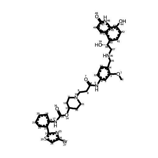 COc1cc(NC(=O)CCN2CCC(OC(=O)Nc3ccccc3-c3nc(Br)cs3)CC2)ccc1CNC[C@H](O)c1ccc(O)c2[nH]c(=O)ccc12